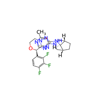 Cc1cc(N2C[C@H]3CC[C@@H](C2)[C@@H]3Nc2nc3n(n2)CCO[C@@H]3c2ccc(F)c(F)c2F)ncn1